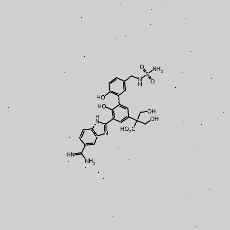 N=C(N)c1ccc2[nH]c(-c3cc(C(CO)(CO)C(=O)O)cc(-c4cc(CNS(N)(=O)=O)ccc4O)c3O)nc2c1